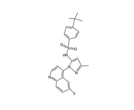 Cc1cc(NS(=O)(=O)c2ccc(C(C)(C)C)cc2)n(-c2ccnc3ccc(F)cc23)n1